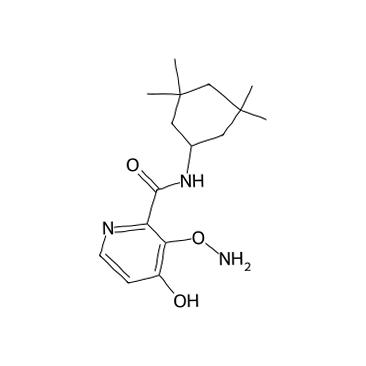 CC1(C)CC(NC(=O)c2nccc(O)c2ON)CC(C)(C)C1